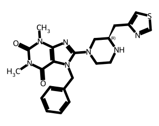 Cn1c(=O)c2c(nc(N3CCN[C@H](Cc4cscn4)C3)n2Cc2ccccc2)n(C)c1=O